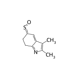 CC1=C(C)C2=CC(=S=O)CCC2=N1